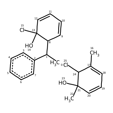 CC(c1ccccc1)C1C=CC=CC1(O)Cl.CC1=CC=CC(C)(O)C1Cl